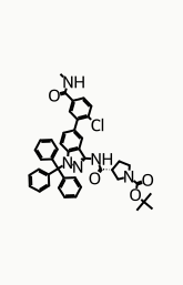 CNC(=O)c1ccc(Cl)c(-c2ccc3c(c2)c(NC(=O)[C@@H]2CCN(C(=O)OC(C)(C)C)C2)nn3C(c2ccccc2)(c2ccccc2)c2ccccc2)c1